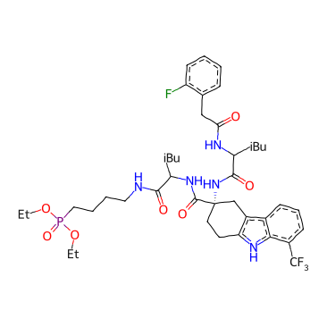 CCOP(=O)(CCCCNC(=O)C(NC(=O)[C@]1(NC(=O)C(NC(=O)Cc2ccccc2F)C(C)CC)CCc2[nH]c3c(C(F)(F)F)cccc3c2C1)C(C)CC)OCC